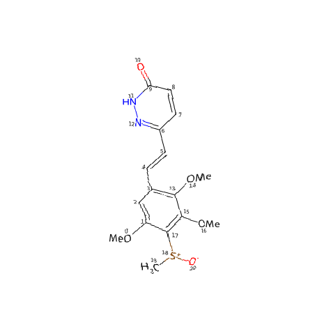 COc1cc(C=Cc2ccc(=O)[nH]n2)c(OC)c(OC)c1[S+](C)[O-]